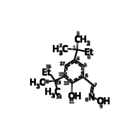 CCC(C)(C)c1cc(C=NO)c(O)c(C(C)(C)CC)c1